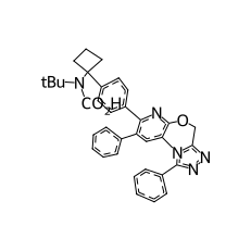 CC(C)(C)N(C(=O)O)C1(c2ccc(-c3nc4c(cc3-c3ccccc3)-n3c(nnc3-c3ccccc3)CO4)cc2)CCC1